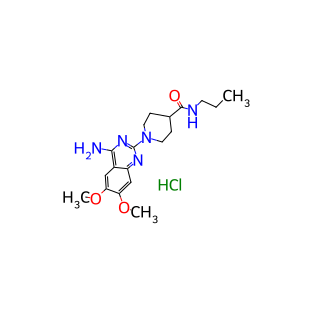 CCCNC(=O)C1CCN(c2nc(N)c3cc(OC)c(OC)cc3n2)CC1.Cl